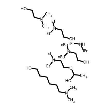 CC(C)NC(C)C.CCCCN(CCO)CCCC.CCN(CC)CCO.CCN(CC)CCOC(C)O.CN(C)CCCCCCO.CN(C)CCO